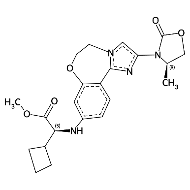 COC(=O)[C@@H](Nc1ccc2c(c1)OCCn1cc(N3C(=O)OC[C@H]3C)nc1-2)C1CCC1